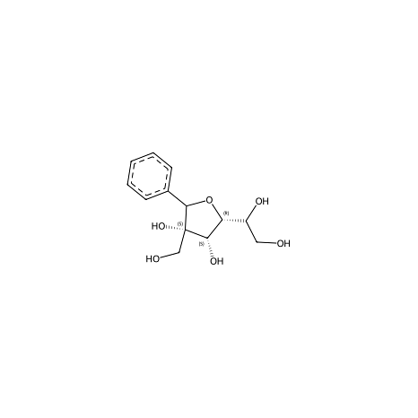 OCC(O)[C@H]1OC(c2ccccc2)[C@](O)(CO)[C@H]1O